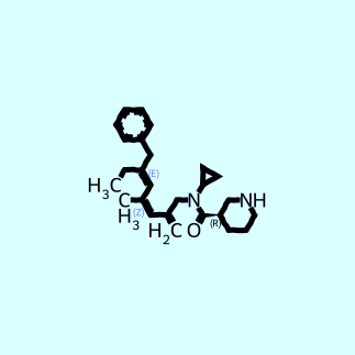 C=C(/C=C(C)\C=C(/CC)Cc1ccccc1)CN(C(=O)[C@@H]1CCCNC1)C1CC1